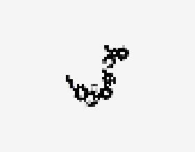 CC/C=C/C1=C=CC2=C(C=N1)C(=O)N(c1cccc(-n3cc(CN4CCC(c5ccccc5)(C(C)CC)CC4)cn3)c1)CCN2C